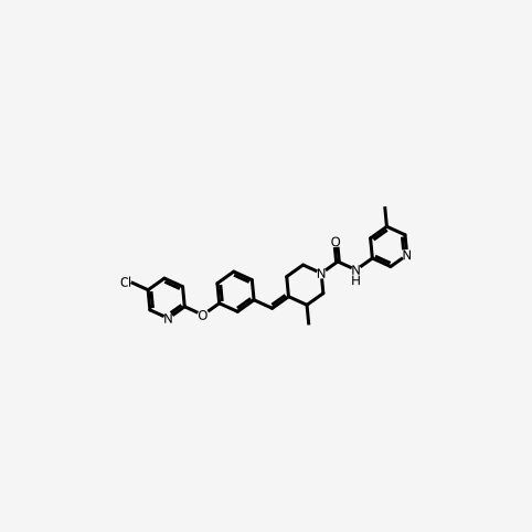 Cc1cncc(NC(=O)N2CCC(=Cc3cccc(Oc4ccc(Cl)cn4)c3)C(C)C2)c1